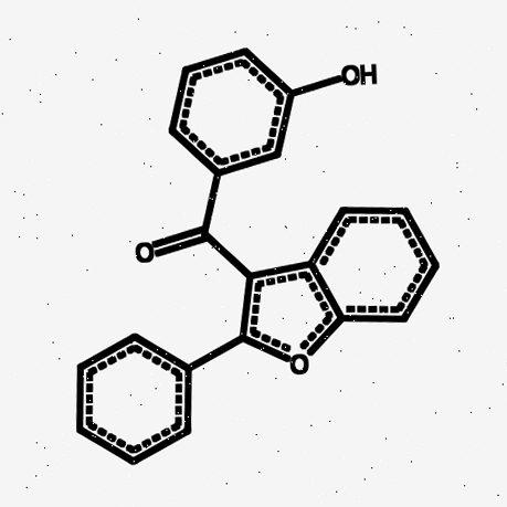 O=C(c1cccc(O)c1)c1c(-c2ccccc2)oc2ccccc12